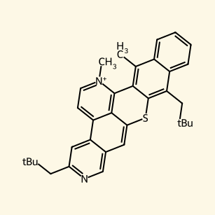 Cc1c2c(c(CC(C)(C)C)c3ccccc13)Sc1cc3cnc(CC(C)(C)C)cc3c3cc[n+](C)c-2c13